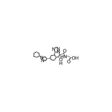 O=C(O)CNC(=O)c1c(O)c2ccc(-c3cnn(-c4ccccc4)c3)cc2c2ncnn12